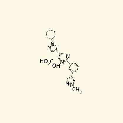 Cn1cc(-c2cccc(-c3ncc(-c4cnn(C5CCCCC5)c4)cn3)c2)cn1.O=C(O)O